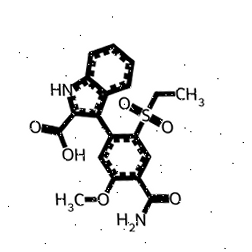 CCS(=O)(=O)c1cc(C(N)=O)c(OC)cc1-c1c(C(=O)O)[nH]c2ccccc12